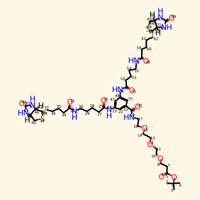 CC(C)(C)OC(=O)CCOCCOCCOCCNC(=O)c1cc(NC(=O)CCCCNC(=O)CCCC[C@@H]2SC[C@@H]3NC(=O)N[C@@H]32)cc(NC(=O)CCCCNC(=O)CCCC[C@@H]2SC[C@@H]3NC(=O)N[C@@H]32)c1